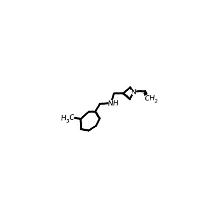 C=CN1CC(CNCC2CCCCC(C)C2)C1